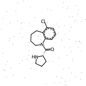 O=C([C@@H]1CCCN1)N1CCCCc2c(Cl)cccc21